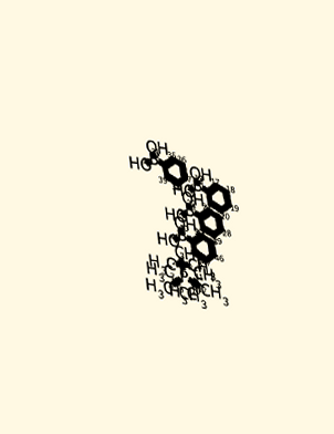 CC(C)(C)P(C(C)(C)C)C(C)(C)C.OB(O)c1ccccc1.OB(O)c1ccccc1.OB(O)c1ccccc1.OB(O)c1ccccc1